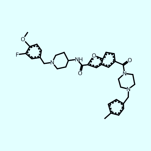 COc1ccc(CN2CCC(NC(=O)c3cc4cc(C(=O)N5CCN(Cc6ccc(C)cc6)CC5)ccc4o3)CC2)cc1F